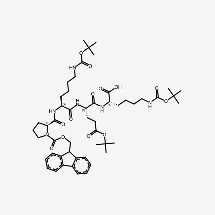 CC(C)(C)OC(=O)CC[C@H](NC(=O)[C@H](CCCCNC(=O)OC(C)(C)C)NC(=O)[C@@H]1CCCN1C(=O)OCC1c2ccccc2-c2ccccc21)C(=O)N[C@@H](CCCCNC(=O)OC(C)(C)C)C(=O)O